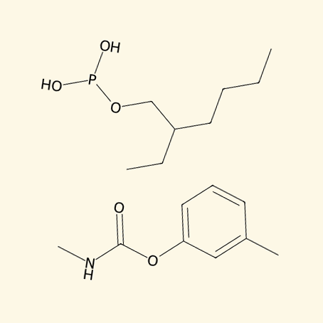 CCCCC(CC)COP(O)O.CNC(=O)Oc1cccc(C)c1